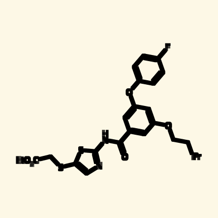 CCOC(=O)CSc1cnc(NC(=O)c2cc(OCCC(C)C)cc(Oc3ccc(F)cc3)c2)s1